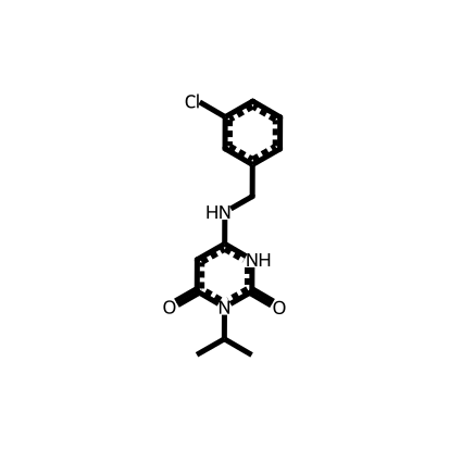 CC(C)n1c(=O)cc(NCc2cccc(Cl)c2)[nH]c1=O